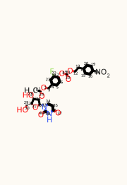 CC(OCc1ccc(OC(=O)OCCc2ccc([N+](=O)[O-])cc2)c(F)c1)O[C@@H]1[C@H](O)[C@@H](CO)O[C@H]1n1ccc(=O)[nH]c1=O